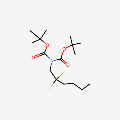 CCCCC(F)(F)CN(C(=O)OC(C)(C)C)C(=O)OC(C)(C)C